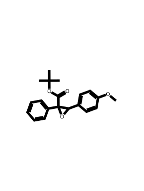 COc1ccc(C2OC2(C(=O)OC(C)(C)C)c2ccccc2)cc1